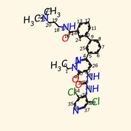 CCn1nc(-c2cccc(-c3cccc(C(=O)NCCCN(C)C)c3)c2)cc(NC(=O)Nc2c(Cl)cncc2Cl)c1=O